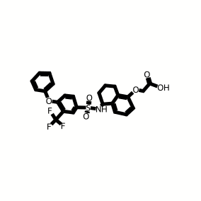 O=C(O)COc1cccc2c1CCCC2NS(=O)(=O)c1ccc(Oc2ccccc2)c(C(F)(F)F)c1